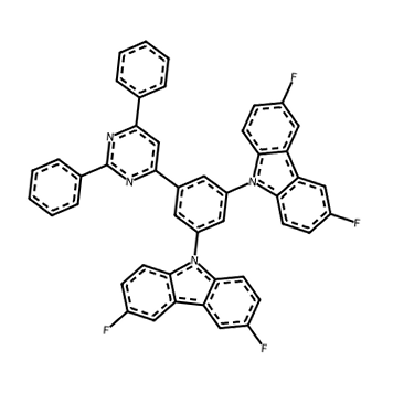 Fc1ccc2c(c1)c1cc(F)ccc1n2-c1cc(-c2cc(-c3ccccc3)nc(-c3ccccc3)n2)cc(-n2c3ccc(F)cc3c3cc(F)ccc32)c1